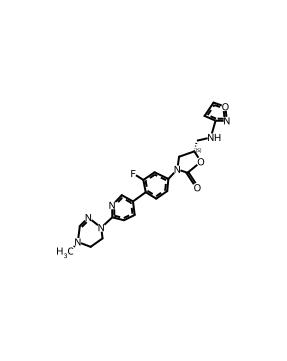 CN1C=NN(c2ccc(-c3ccc(N4C[C@H](CNc5ccon5)OC4=O)cc3F)cn2)CC1